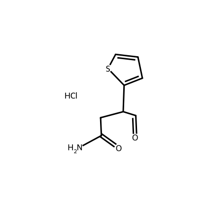 Cl.NC(=O)CC(C=O)c1cccs1